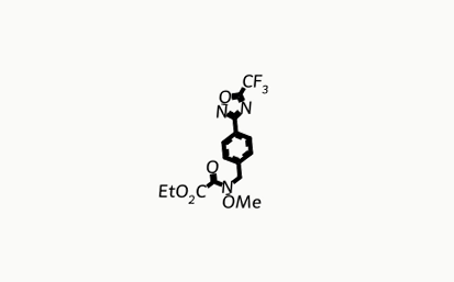 CCOC(=O)C(=O)N(Cc1ccc(-c2noc(C(F)(F)F)n2)cc1)OC